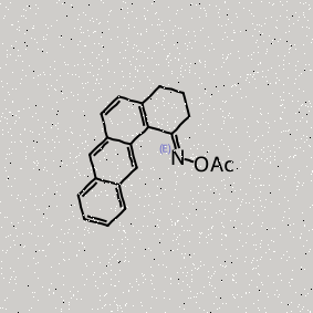 CC(=O)O/N=C1\CCCc2ccc3cc4ccccc4cc3c21